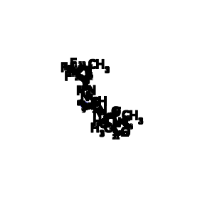 Cc1cc(-c2ncn(/C=C\C(=O)NNC(=O)C(=O)N3C(C)COCC3C)n2)cc(C(F)(F)F)c1